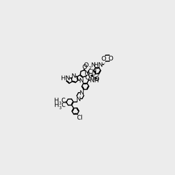 CN1Cc2c(c3nc4[nH]ccc4cc3n2-c2cc(N3CCN(CC4=C(c5ccc(Cl)cc5)CC(C)(C)CC4)CC3)ccc2C(=O)NS(=O)(=O)c2ccc(NC[C@H]3COCCO3)c([N+](=O)[O-])c2)CC1=O